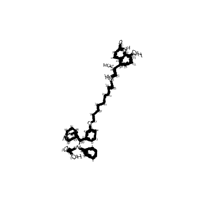 O=C(O)N(c1ccccc1)[C@@H](c1cccc(OCCCCCCCCCNC[C@H](O)c2ccc(O)c3[nH]c(=O)ccc23)c1)C1CN2CCC1CC2